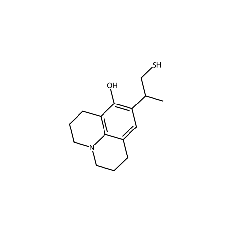 CC(CS)c1cc2c3c(c1O)CCCN3CCC2